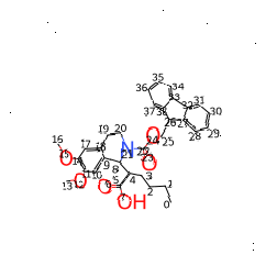 CCCCC(C(=O)O)C1c2cc(OC)c(OC)cc2CCN1C(=O)OCC1c2ccccc2-c2ccccc21